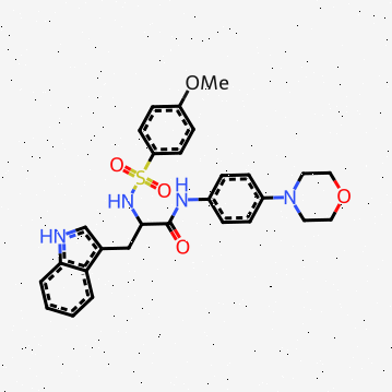 COc1ccc(S(=O)(=O)NC(Cc2c[nH]c3ccccc23)C(=O)Nc2ccc(N3CCOCC3)cc2)cc1